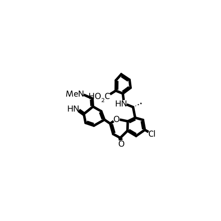 CN/C=C1/C=C(c2cc(=O)c3cc(Cl)cc([C@@H](C)Nc4ccccc4C(=O)O)c3o2)C=CC1=N